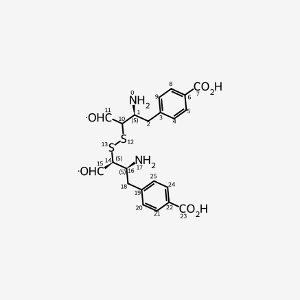 N[C@@H](Cc1ccc(C(=O)O)cc1)C([C]=O)SS[C@H]([C]=O)[C@@H](N)Cc1ccc(C(=O)O)cc1